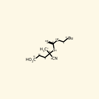 CCC(C)CSC(=S)SC(C)(C#N)CCC(=O)O